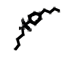 CCCCNS(=O)(=O)c1ccc(CCCC)cc1